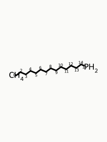 C.CCCCCCCCCCCCCCP